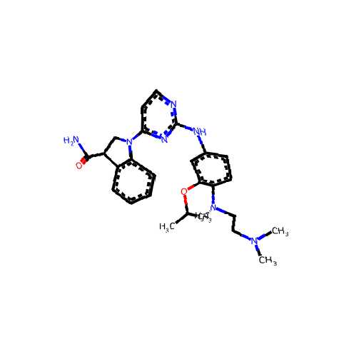 CC(C)Oc1cc(Nc2nccc(N3CC(C(N)=O)c4ccccc43)n2)ccc1N(C)CCN(C)C